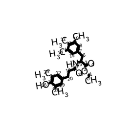 CCOC(=O)C(Cc1cc(C)c(C)c(C)c1)NC(=O)CCc1cc(C)c(O)c(C)c1